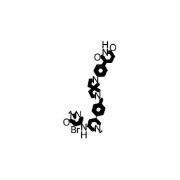 CN1C[C@H](Nc2cnn(C)c(=O)c2Br)C[C@H](c2ccc(CN3CCC4(CCN(c5ccc(C6CCC(=O)NC6=O)cc5)C4)C3)cc2)C1